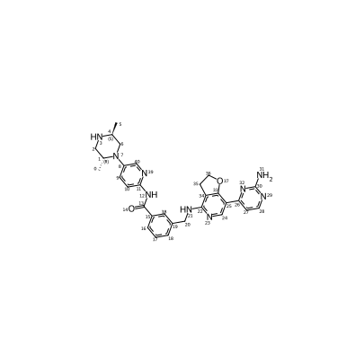 C[C@@H]1CN[C@@H](C)CN1c1ccc(NC(=O)c2cccc(CNc3ncc(-c4ccnc(N)n4)c4c3CCO4)c2)nc1